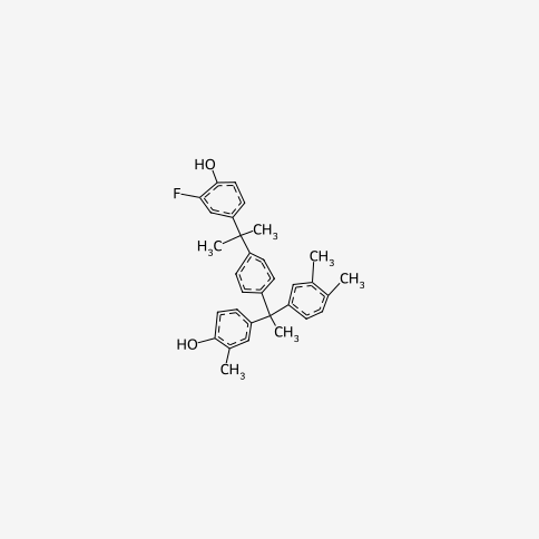 Cc1ccc(C(C)(c2ccc(C(C)(C)c3ccc(O)c(F)c3)cc2)c2ccc(O)c(C)c2)cc1C